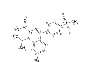 CC(C)CC(/N=C(\c1ccc(Br)cc1)c1ccc(S(C)(=O)=O)cc1)C(=O)O